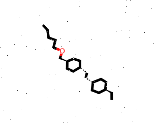 CCCCCOC[C@H]1CC[C@H](CC[C@H]2CC[C@H](CC)CC2)CC1